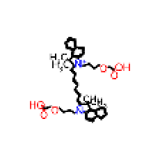 CC1(C)C(/C=C/C=C/C=C/C=C2/N(CCCCOCC(=O)O)c3ccc4ccccc4c3C2(C)C)=[N+](CCCCOCC(=O)O)c2ccc3ccccc3c21